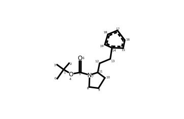 CC(C)(C)OC(=O)N1CCCC1CCc1ccccc1